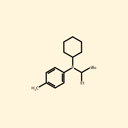 CCCCC(CC)P(c1ccc(C)cc1)C1CCCCC1